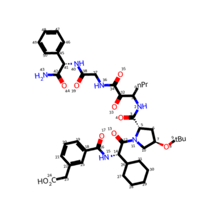 CCCC(NC(=O)[C@@H]1C[C@@H](OC(C)(C)C)CN1C(=O)[C@@H](NC(=O)c1cccc(CC(=O)O)c1)C1CCCCC1)C(=O)C(=O)NCC(=O)N[C@H](C(N)=O)c1ccccc1